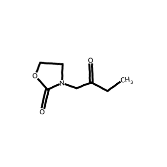 CCC(=O)CN1CCOC1=O